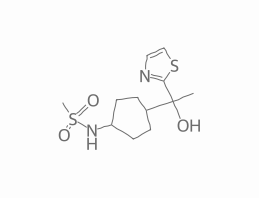 CC(O)(c1nccs1)C1CCC(NS(C)(=O)=O)CC1